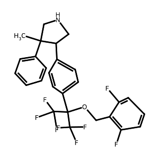 CC1(c2ccccc2)CNCC1c1ccc(C(OCc2c(F)cccc2F)(C(F)(F)F)C(F)(F)F)cc1